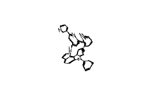 c1ccc(-n2c3ccccc3c3c4c(ccc32)ccn4-c2cc(-c3cccnc3)nc(-c3ccccn3)c2)cc1